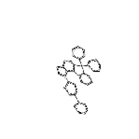 c1ccc(-c2ccc(-n3ccc4ccc5c(c43)-c3ccccc3C5(c3ccccc3)c3ccccc3)nn2)cc1